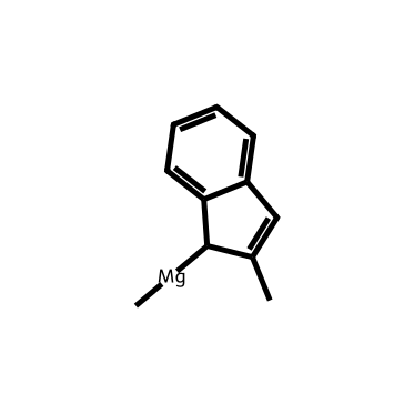 [CH3][Mg][CH]1C(C)=Cc2ccccc21